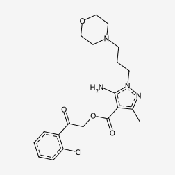 Cc1nn(CCCN2CCOCC2)c(N)c1C(=O)OCC(=O)c1ccccc1Cl